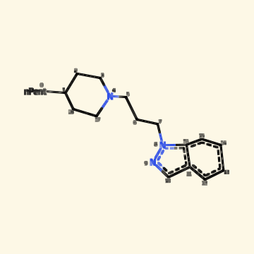 CCCCCC1CCN(CCCn2ncc3ccccc32)CC1